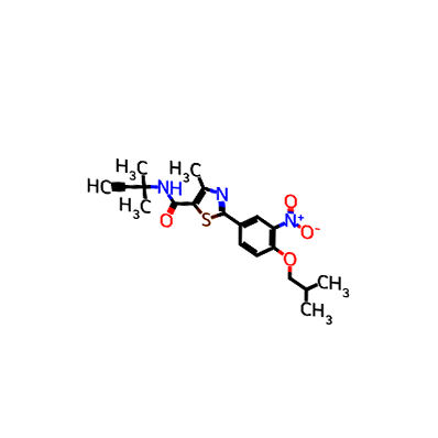 C#CC(C)(C)NC(=O)c1sc(-c2ccc(OCC(C)C)c([N+](=O)[O-])c2)nc1C